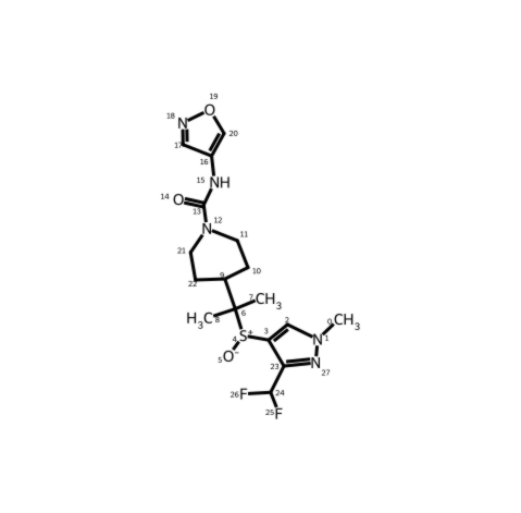 Cn1cc([S+]([O-])C(C)(C)C2CCN(C(=O)Nc3cnoc3)CC2)c(C(F)F)n1